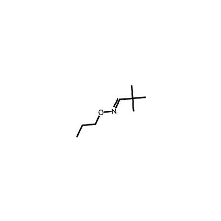 CCCON=CC(C)(C)C